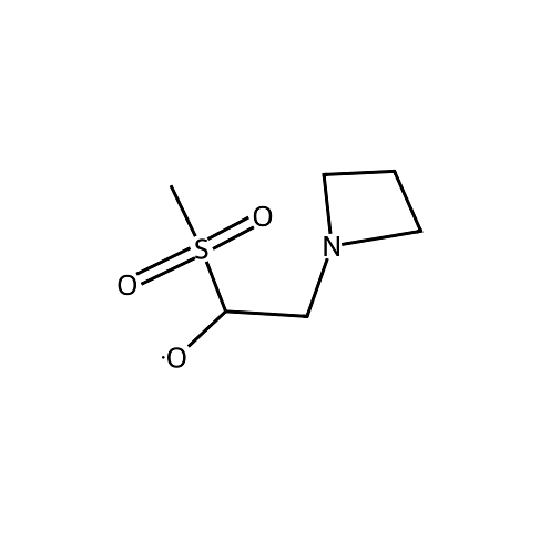 CS(=O)(=O)C([O])CN1CCC1